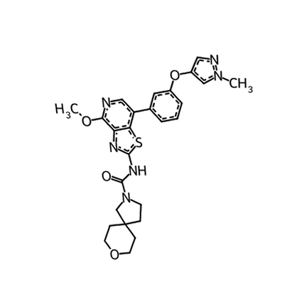 COc1ncc(-c2cccc(Oc3cnn(C)c3)c2)c2sc(NC(=O)N3CCC4(CCOCC4)C3)nc12